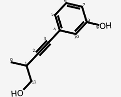 CC(C#Cc1cccc(O)c1)CO